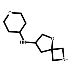 C1CC(NC2COC3(CNC3)C2)CCO1